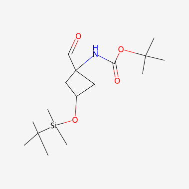 CC(C)(C)OC(=O)NC1(C=O)CC(O[Si](C)(C)C(C)(C)C)C1